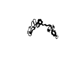 CNC(=O)C(CCC=O)N1Cc2c(CCCCN3CCN(c4ccc(OC)cc4)CC3)cccc2C1=O